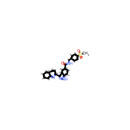 CS(=O)(=O)c1ccc(CNC(=O)c2ccc3[nH]nc(-c4ccc5ccccc5n4)c3c2)cc1